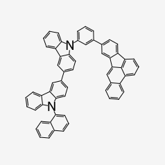 c1cc(-c2ccc3c(c2)-c2cc4ccccc4c4cccc-3c24)cc(-n2c3ccccc3c3cc(-c4ccc5c(c4)c4ccccc4n5-c4cccc5ccccc45)ccc32)c1